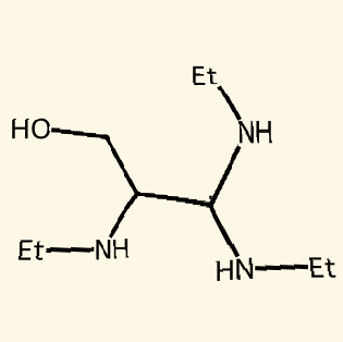 CCN[C](NCC)C(CO)NCC